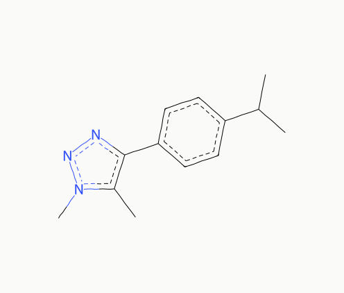 Cc1c(-c2ccc(C(C)C)cc2)nnn1C